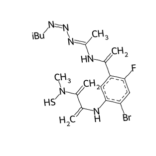 C=C(Nc1cc(C(=C)N/C(C)=N/N=N\C(C)CC)c(F)cc1Br)C(=C)N(C)S